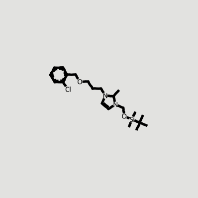 CC1N(CCCOCc2ccccc2Cl)C=CN1CO[Si](C)(C)C(C)(C)C